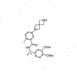 COc1ccc([C@@H](C)NC(=O)c2cc(N3CC4(CNC4)C3)ccc2C)cc1OC